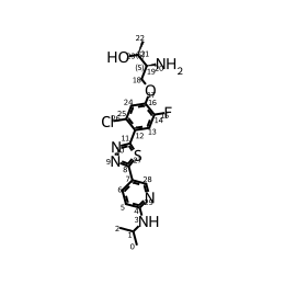 CC(C)Nc1ccc(-c2nnc(-c3cc(F)c(OC[C@H](N)[C@H](C)O)cc3Cl)s2)cn1